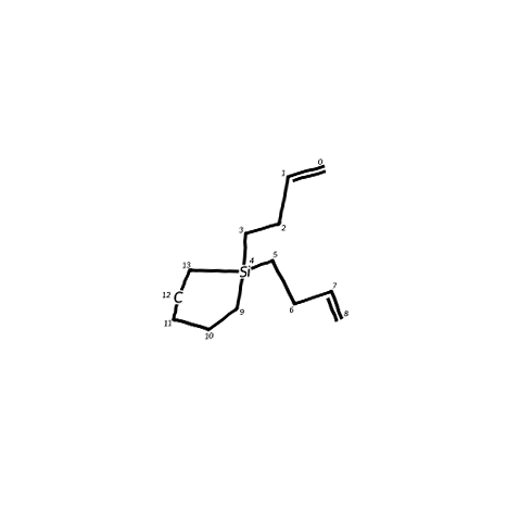 C=CCC[Si]1(CCC=C)CCCCC1